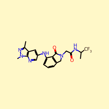 Cc1nn(C)c2ncc(Nc3cccc4c3C(=O)N(CC(=O)NC(C)C(F)(F)F)C4)cc12